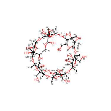 CC(C)OC(O)C1O[C@@H]2O[C@@H]3C(CO)O[C@H](O[C@@H]4C(CO)O[C@H](O[C@@H]5C(CO)O[C@H](O[C@@H]6C(CO)O[C@H](O[C@@H]7C(CO)O[C@H](O[C@H]1[C@H](O)[C@H]2O)[C@H](O)[C@H]7O)[C@H](O)[C@H]6O)[C@H](O)[C@H]5O)[C@H](O)[C@H]4O)[C@H](O)[C@H]3O